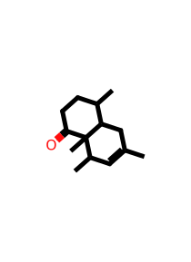 CC1=CC(C)C2(C)C(=O)CCC(C)C2C1